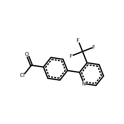 O=C(Cl)c1ccc(-c2ncccc2C(F)(F)F)cc1